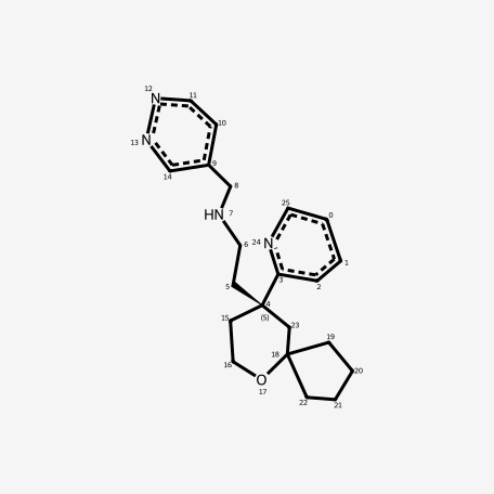 c1ccc([C@@]2(CCNCc3ccnnc3)CCOC3(CCCC3)C2)nc1